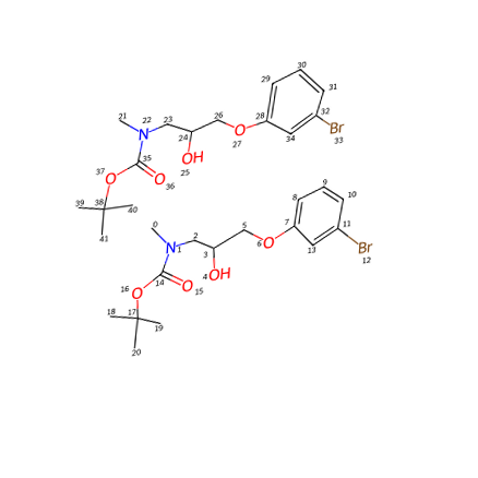 CN(CC(O)COc1cccc(Br)c1)C(=O)OC(C)(C)C.CN(CC(O)COc1cccc(Br)c1)C(=O)OC(C)(C)C